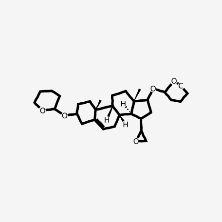 C[C@]12CCC(OC3CCCCO3)CC1=CC[C@@H]1[C@H]2CC[C@]2(C)C(OC3CCCCO3)CC(C3CO3)[C@@H]12